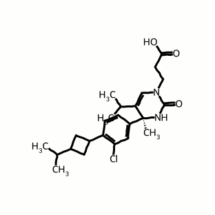 CC(C)C1=CN(CCC(=O)O)C(=O)N[C@@]1(C)c1ccc(C2CC(C(C)C)C2)c(Cl)c1